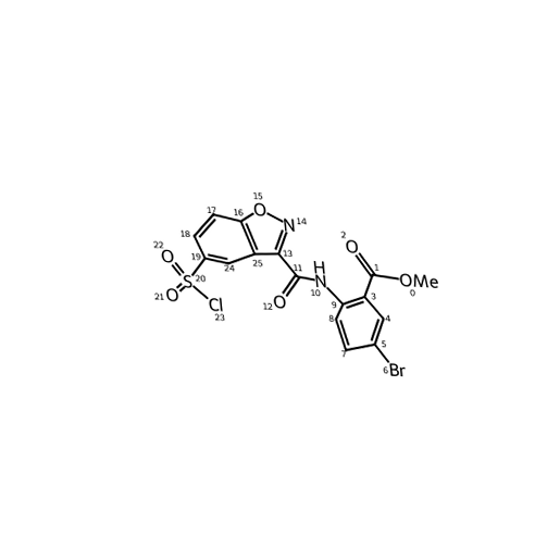 COC(=O)c1cc(Br)ccc1NC(=O)c1noc2ccc(S(=O)(=O)Cl)cc12